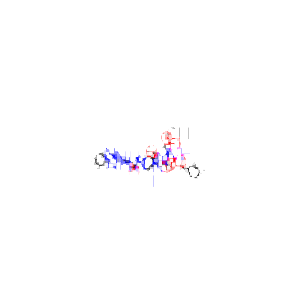 COC(=O)CC(NC(=O)OCc1ccccc1)N1C(=O)NC2(CCN(C(=O)CCNc3nc4ccccc4[nH]3)CC2)C1=O